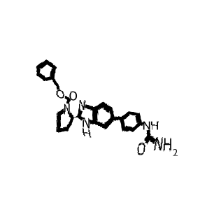 NC(=O)Nc1ccc(-c2ccc3nc([C@@H]4CCCN4C(=O)OCc4ccccc4)[nH]c3c2)cc1